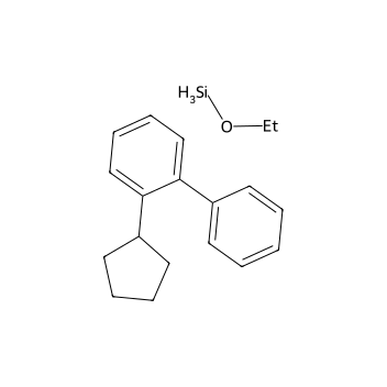 CCO[SiH3].c1ccc(-c2ccccc2C2CCCC2)cc1